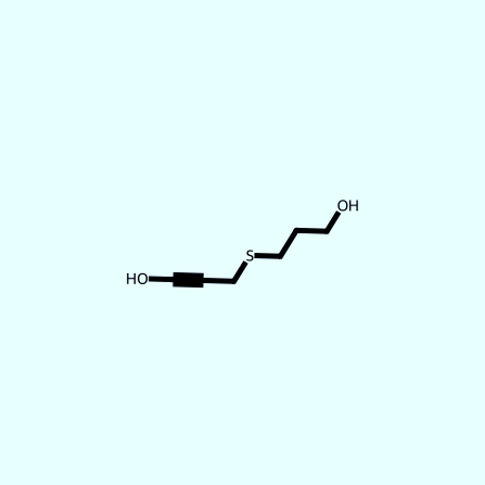 OC#CCSCCCO